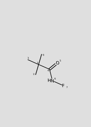 CC(C)(C)C(=O)NF